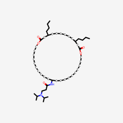 CCCCC1CCCCCCC(CCCC)CC(=O)OCCCCCCCCCCC(NC(=O)CCN(C(C)C)C(C)C)CCCCCCCCCCOC(=O)C1